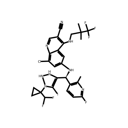 Cc1nc(F)ccc1[C@H](Nc1cc(Cl)c2ncc(C#N)c(NCC(C)(C)C(F)(F)F)c2c1)C1=C(I)N(C2(C(F)F)CC2)NN1